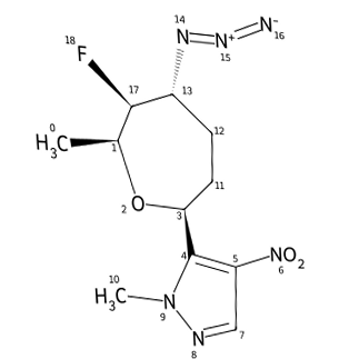 C[C@@H]1O[C@H](c2c([N+](=O)[O-])cnn2C)CC[C@@H](N=[N+]=[N-])[C@@H]1F